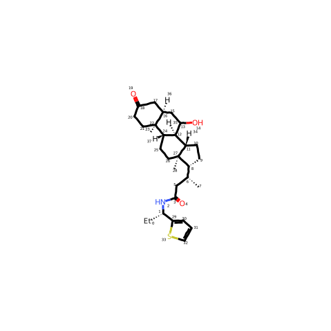 CC[C@H](NC(=O)C[C@@H](C)[C@H]1CC[C@H]2[C@@H]3C(O)C[C@@H]4CC(=O)CC[C@]4(C)[C@H]3CC[C@]12C)c1cccs1